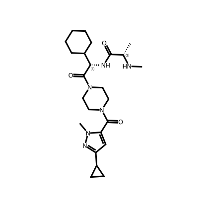 CN[C@@H](C)C(=O)N[C@H](C(=O)N1CCN(C(=O)c2cc(C3CC3)nn2C)CC1)C1CCCCC1